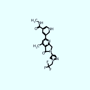 CNC(=O)C1=CNCC(c2cc(C)c3c(n2)CN(c2cnn(CC(F)(F)F)c2)C3=O)=C1